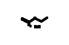 CCO[PH2]=O.[NaH]